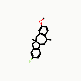 COc1ccc2c(c1)CC1(C)Cc3cc(F)ccc3C1CC2C